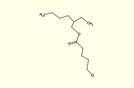 CCCCC(CC)COC(=O)CCCCCl